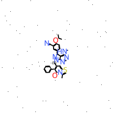 CNc1ncnc2c1c(-c1ccc(OC(C)C)c(C#N)c1)nn2[C@@H](C)c1cc2scc(C)n2c(=O)c1-c1ccccc1